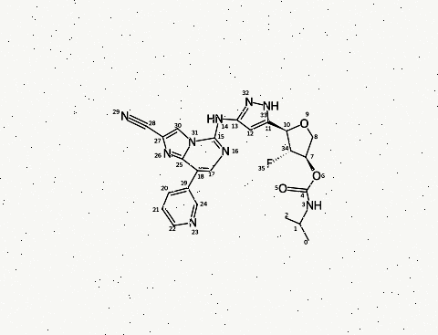 CC(C)NC(=O)O[C@@H]1CO[C@H](c2cc(Nc3ncc(-c4cccnc4)c4nc(C#N)cn34)n[nH]2)[C@H]1F